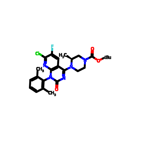 Cc1cccc(C)c1-n1c(=O)nc(N2CCN(C(=O)OC(C)(C)C)C[C@@H]2C)c2cc(F)c(Cl)nc21